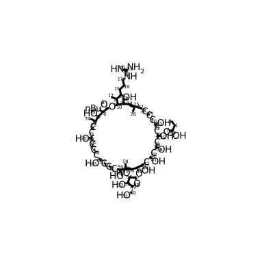 CCC(=O)O.CCCCC1C(=O)OC(C(C)C(O)CCCNC(=N)N)C(C)/C=C(\C)CCCCC(O)CC(O)CC(O)CC(O)CC(O)C(O[C@H]2O[C@H](CO)[C@@H](O)[C@@H]2O)/C=C(\C)C(O)CCCC(O)CCCC(O)CCC(C)C1O